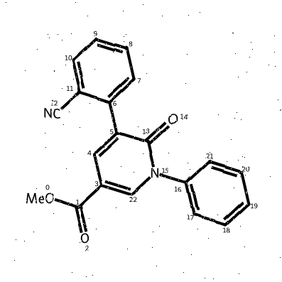 COC(=O)c1cc(-c2ccccc2C#N)c(=O)n(-c2ccccc2)c1